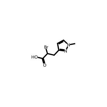 Cn1ccc(CC(Br)C(=O)O)n1